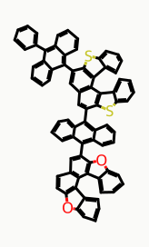 c1ccc(-c2c3ccccc3c(-c3cc4cc(-c5c6ccccc6c(-c6cc7ccc8oc9ccccc9c8c7c7c6oc6ccccc67)c6ccccc56)c5sc6ccccc6c5c4c4c3sc3ccccc34)c3ccccc23)cc1